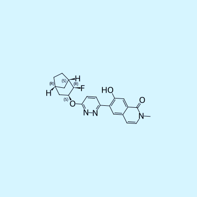 Cn1ccc2cc(-c3ccc(O[C@H]4C[C@@H]5CC[C@@H](C5)[C@H]4F)nn3)c(O)cc2c1=O